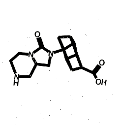 O=C1N2CCNCC2CN1C12C3C4C1C1C2C3C41C(=O)O